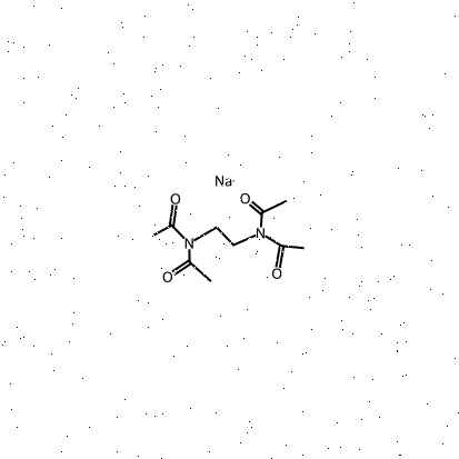 CC(=O)N(CCN(C(C)=O)C(C)=O)C(C)=O.[Na]